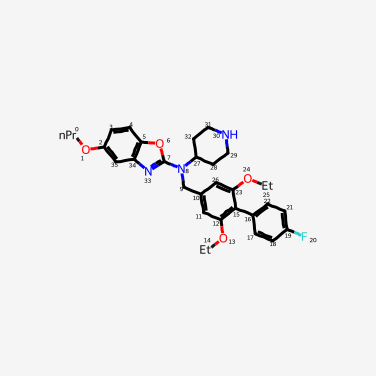 CCCOc1ccc2oc(N(Cc3cc(OCC)c(-c4ccc(F)cc4)c(OCC)c3)C3CCNCC3)nc2c1